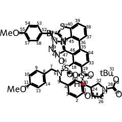 COc1ccc(CN(Cc2ccc(OC)cc2)S(=O)(=O)c2c(S(=O)(=O)NC3CCN(C(=O)OC(C)(C)C)C3)ccc(-c3cccc4sc(Br)nc34)c2-c2nnn(Cc3ccc(OC)cc3)n2)cc1